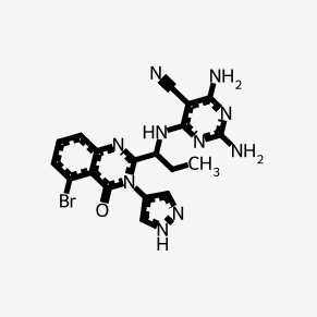 CCC(Nc1nc(N)nc(N)c1C#N)c1nc2cccc(Br)c2c(=O)n1-c1cn[nH]c1